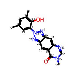 Cc1cc(C)c(O)c(-n2nc3cc4ncn(C)c(=O)c4cc3n2)c1